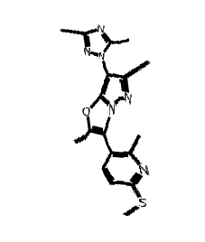 CSc1ccc(-c2c(C)oc3c(-n4nc(C)nc4C)c(C)nn23)c(C)n1